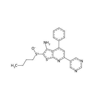 CCCC[S+]([O-])c1sc2nc(-c3cncnc3)cc(-c3ccccc3)c2c1N